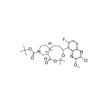 COc1nc2c(C3CC[C@@H]4CCN(C(=O)OC(C)(C)C)C[C@@H]4C(=O)OC(C)(C)O3)c(F)ccc2nc1Cl